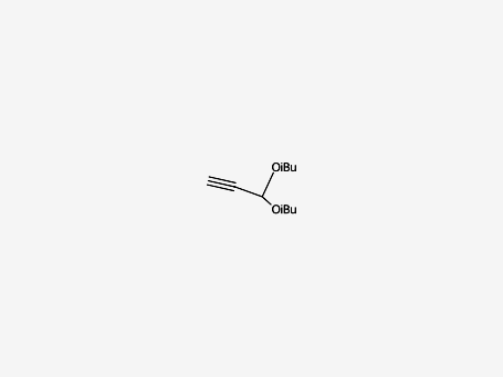 C#CC(OCC(C)C)OCC(C)C